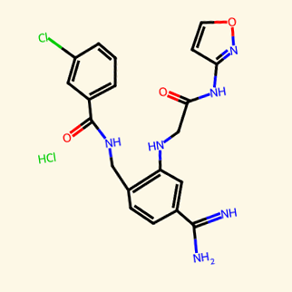 Cl.N=C(N)c1ccc(CNC(=O)c2cccc(Cl)c2)c(NCC(=O)Nc2ccon2)c1